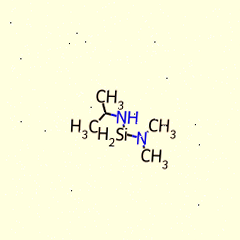 CC(C)N[SiH2]N(C)C